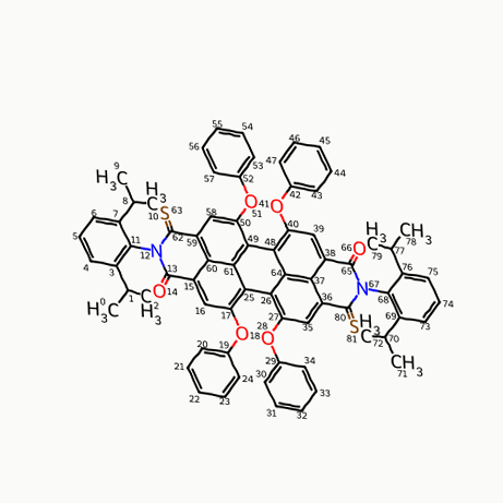 CC(C)c1cccc(C(C)C)c1N1C(=O)c2cc(Oc3ccccc3)c3c4c(Oc5ccccc5)cc5c6c(cc(Oc7ccccc7)c(c7c(Oc8ccccc8)cc(c2c37)C1=S)c64)C(=O)N(c1c(C(C)C)cccc1C(C)C)C5=S